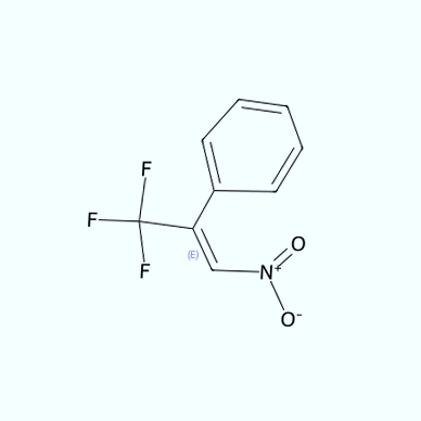 O=[N+]([O-])/C=C(\c1ccccc1)C(F)(F)F